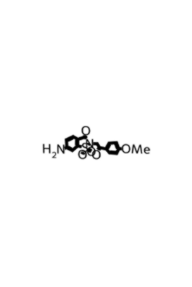 COc1ccc(C(=O)CN2C(=O)c3ccc(N)cc3S2(=O)=O)cc1